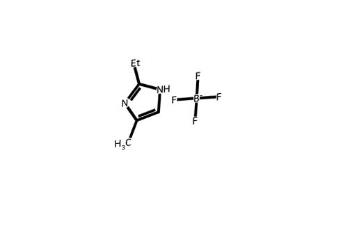 CCc1nc(C)c[nH]1.F[B-](F)(F)F